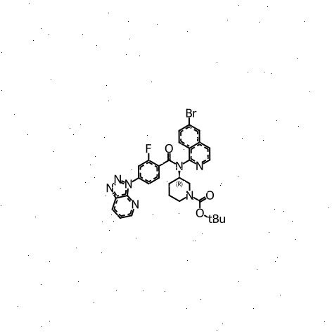 CC(C)(C)OC(=O)N1CCC[C@@H](N(C(=O)c2ccc(-n3nnc4cccnc43)cc2F)c2nccc3cc(Br)ccc23)C1